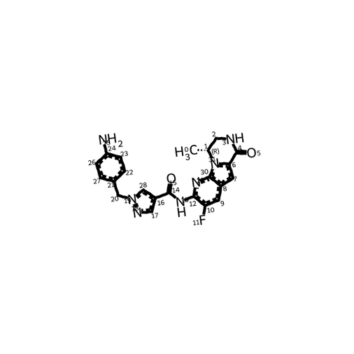 C[C@@H]1CNC(=O)c2cc3cc(F)c(NC(=O)c4cnn(Cc5ccc(N)cc5)c4)nc3n21